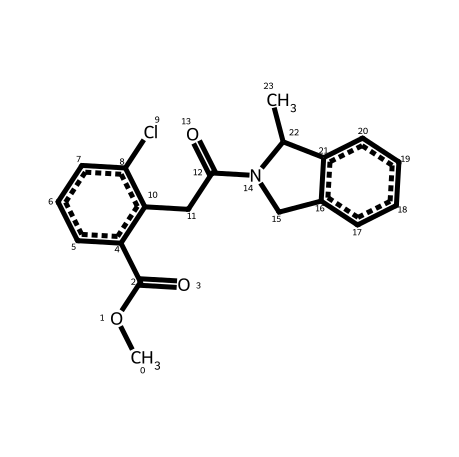 COC(=O)c1cccc(Cl)c1CC(=O)N1Cc2ccccc2C1C